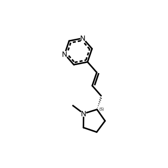 CN1CCC[C@H]1CC=Cc1cncnc1